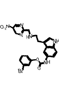 O=C(Nc1ccc2[nH]cc(CCNCc3ncc([N+](=O)[O-])cn3)c2c1)Oc1cccc(Br)c1